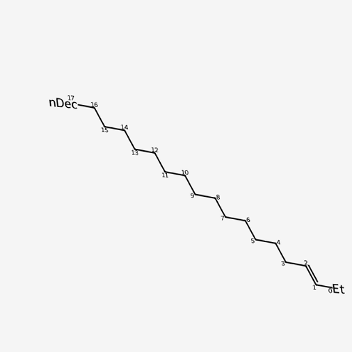 [CH2]CC=CCCCCCCCCCCCCCCCCCCCCCCC[CH2]